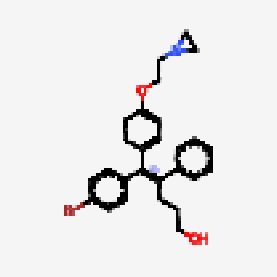 OCCC/C(=C(/C1=CC=C(OCCN2CC2)CC1)c1ccc(Br)cc1)c1ccccc1